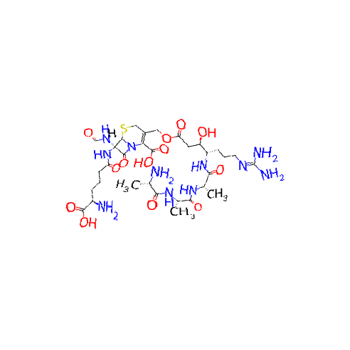 C[C@H](N)C(=O)N[C@@H](C)C(=O)N[C@@H](C)C(=O)N[C@@H](CCCN=C(N)N)[C@H](O)CC(=O)OCC1=C(C(=O)O)N2C(=O)[C@@](NC=O)(NC(=O)CCC[C@@H](N)C(=O)O)[C@H]2SC1